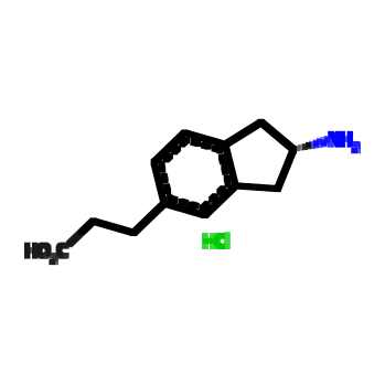 Cl.N[C@H]1Cc2ccc(CCC(=O)O)cc2C1